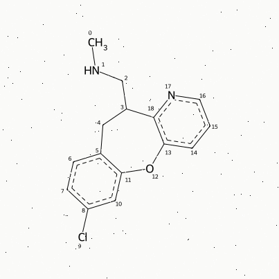 CNCC1Cc2ccc(Cl)cc2Oc2cccnc21